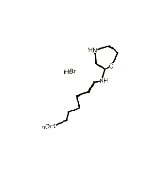 Br.CCCCCCCCCCCCCCNC1CNCCO1